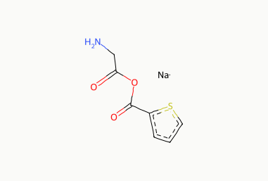 NCC(=O)OC(=O)c1cccs1.[Na]